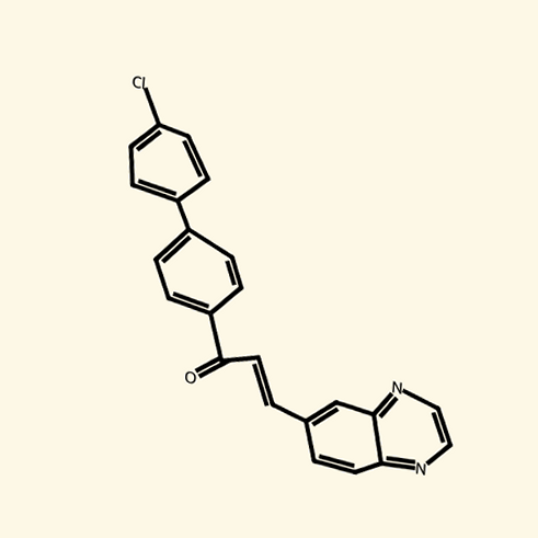 O=C(C=Cc1ccc2nccnc2c1)c1ccc(-c2ccc(Cl)cc2)cc1